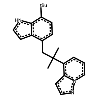 CC(C)(C)c1ccc(CC(C)(C)c2cccn3nccc23)c2cc[nH]c12